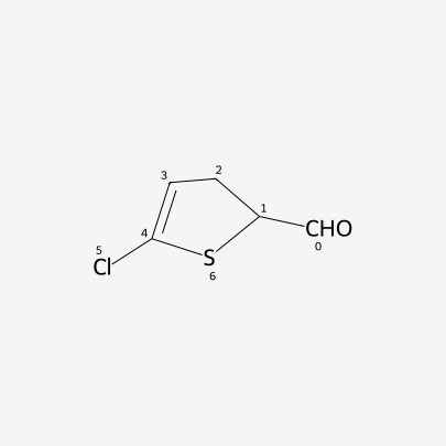 O=CC1CC=C(Cl)S1